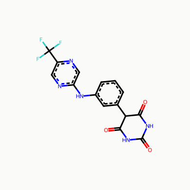 O=C1NC(=O)C(c2cccc(Nc3cnc(C(F)(F)F)cn3)c2)C(=O)N1